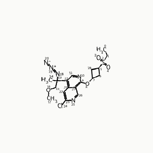 CCS(=O)(=O)[C@H]1C[C@@H](Oc2ncc(C(C)(COC)N=[N+]=[N-])c3cc(Cl)ncc23)C1